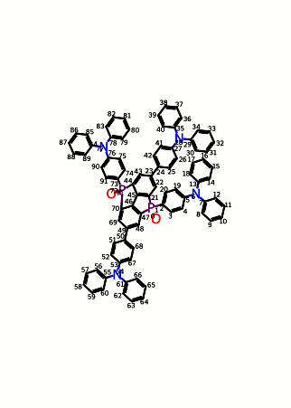 O=P1(c2ccc(N(c3ccccc3)c3ccccc3)cc2)c2cc(-c3ccc(N(c4ccccc4)c4ccccc4)cc3)cc3c2-c2c1cc(-c1ccc(N(c4ccccc4)c4ccccc4)cc1)cc2P3(=O)c1ccc(N(c2ccccc2)c2ccccc2)cc1